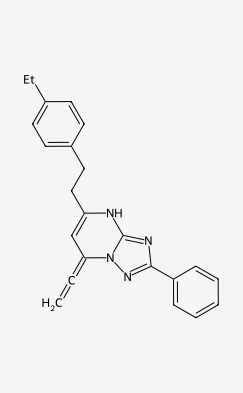 C=C=C1C=C(CCc2ccc(CC)cc2)Nc2nc(-c3ccccc3)nn21